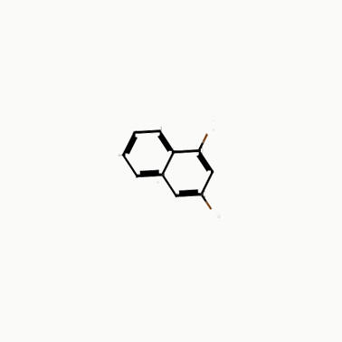 Brc1cc(Br)c2ccccc2c1